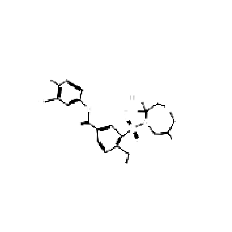 CC1(C)COCC(O)CN1S(=O)(=O)c1cc(C(=O)Nc2ccc(F)c(Cl)c2)ccc1CF